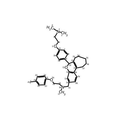 CN(C)CCOc1ccc(C2Oc3cc(CN(C)CCOc4ccc(I)cc4)ccc3C3=C2CCCCC3)cc1